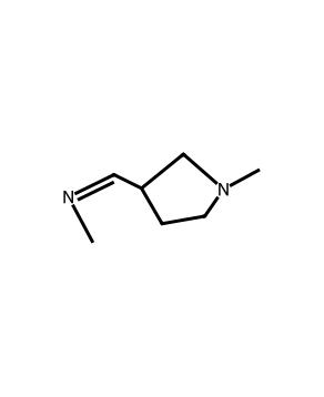 C/N=C\C1CCN(C)C1